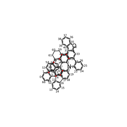 c1ccc(C2(c3ccccc3)c3ccccc3-c3ccc(N(c4ccccc4-c4ccc5c(c4)oc4ccccc45)c4ccccc4-c4cccc5cccc(C6CCCCC6)c45)cc32)cc1